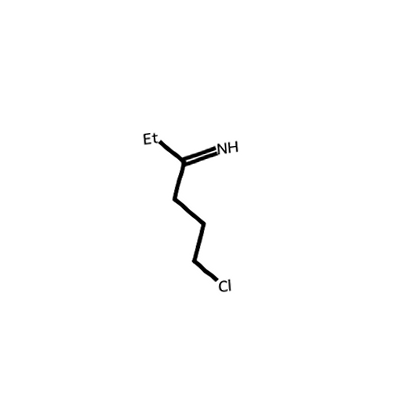 CCC(=N)CCCCl